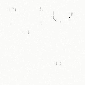 NC(=O)c1cnc(N[C@@H]2CCCC[C@@H]2N)nc1Nc1cccc(-c2ccccc2C2CCCNC2)c1